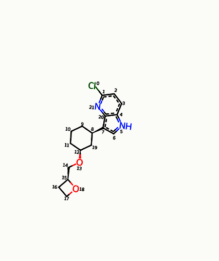 Clc1ccc2[nH]cc([C@@H]3CCC[C@H](OC[C@@H]4CCO4)C3)c2n1